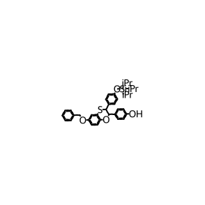 CC(C)[Si](Oc1ccc(C2Sc3cc(OCc4ccccc4)ccc3OC2c2ccc(O)cc2)cc1)(C(C)C)C(C)C